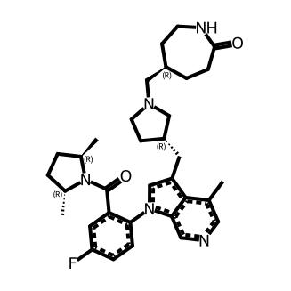 Cc1cncc2c1c(C[C@@H]1CCN(C[C@H]3CCNC(=O)CC3)C1)cn2-c1ccc(F)cc1C(=O)N1[C@H](C)CC[C@H]1C